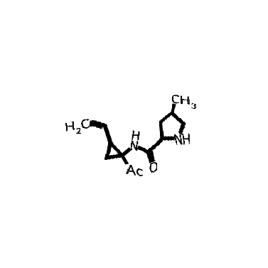 C=CC1CC1(NC(=O)C1CC(C)CN1)C(C)=O